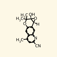 Cc1cc(C#N)nc2cc3c(cc12)OC(C)(C)[C@]1(O)O[C@H]31